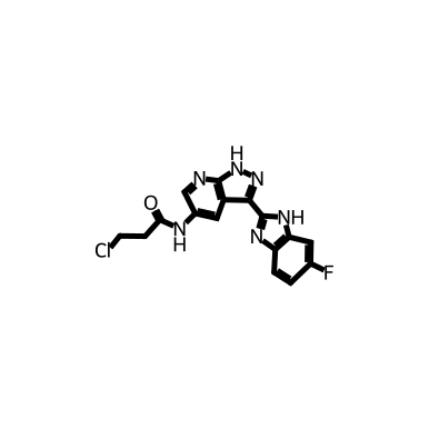 O=C(CCCl)Nc1cnc2[nH]nc(-c3nc4ccc(F)cc4[nH]3)c2c1